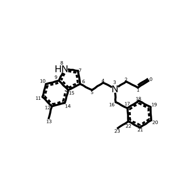 C=CCN(CCc1c[nH]c2ccc(C)cc12)Cc1ccccc1C